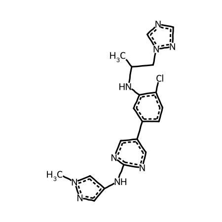 CC(Cn1cncn1)Nc1cc(-c2cnc(Nc3cnn(C)c3)nc2)ccc1Cl